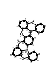 c1ccc2c(c1)Oc1cccc3c1B2c1ccc2c(c1O3)Oc1cccc3c1B2c1ccccc1O3